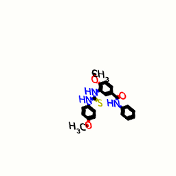 COc1ccc(NC(=S)Nc2cc(C(=O)Nc3ccccc3)ccc2OC)cc1